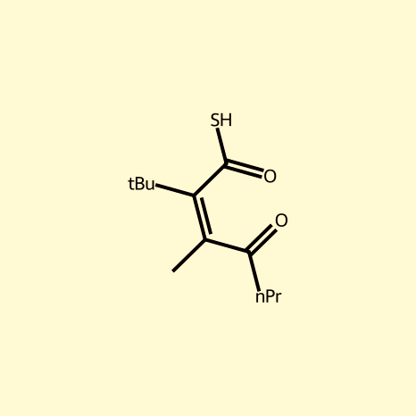 CCCC(=O)/C(C)=C(\C(=O)S)C(C)(C)C